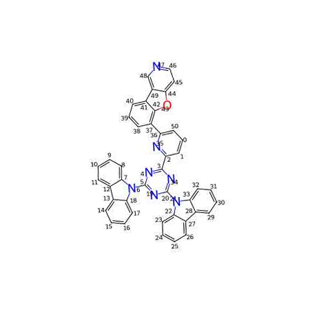 c1cc(-c2nc(-n3c4ccccc4c4ccccc43)nc(-n3c4ccccc4c4ccccc43)n2)nc(-c2cccc3c2oc2ccncc23)c1